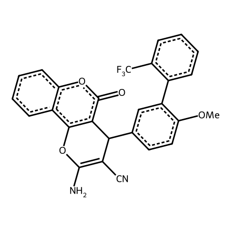 COc1ccc(C2C(C#N)=C(N)Oc3c2c(=O)oc2ccccc32)cc1-c1ccccc1C(F)(F)F